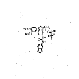 COc1ccc([C@@]23CC[C@@H](NC(=O)Nc4ccc5c(c4)CCO5)C[C@@H]2N(C)CC3)cc1OC.O=C(O)C(F)(F)F